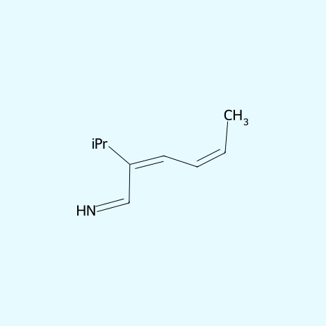 C/C=C\C=C(/C=N)C(C)C